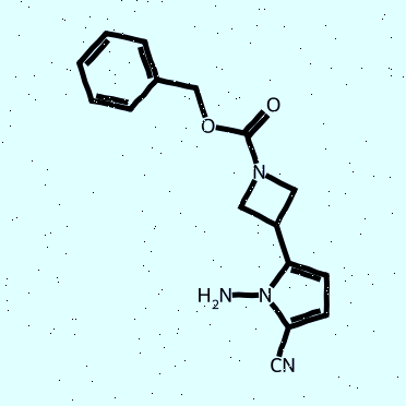 N#Cc1ccc(C2CN(C(=O)OCc3ccccc3)C2)n1N